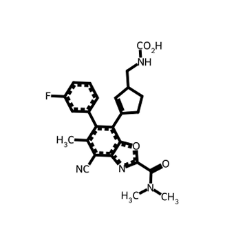 Cc1c(-c2cccc(F)c2)c(C2=CC(CNC(=O)O)CC2)c2oc(C(=O)N(C)C)nc2c1C#N